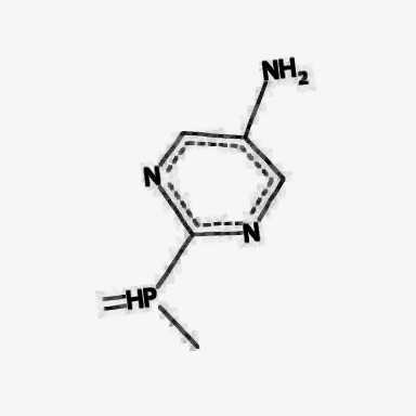 C=[PH](C)c1ncc(N)cn1